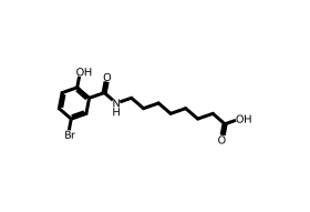 O=C(O)CCCCCCCNC(=O)c1cc(Br)ccc1O